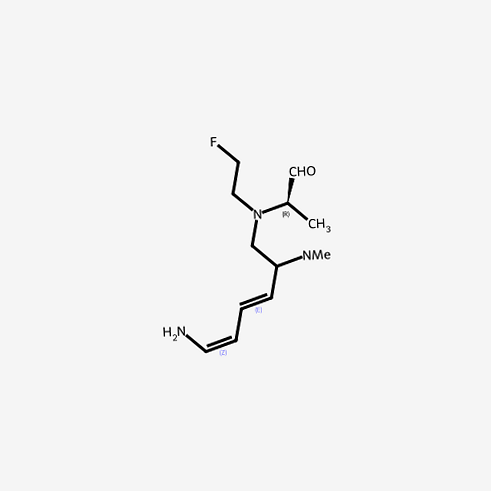 CNC(/C=C/C=C\N)CN(CCF)[C@H](C)C=O